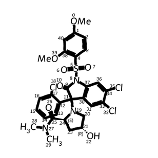 COc1ccc(S(=O)(=O)N2C(=O)C(c3ccccc3Cl)(N3C[C@H](O)C[C@H]3C(=O)N(C)C)c3cc(Cl)c(Cl)cc32)c(OC)c1